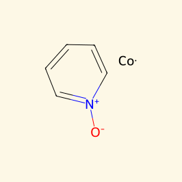 [Co].[O-][n+]1ccccc1